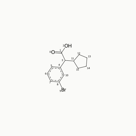 O=C(O)C(c1cccc(Br)c1)C1CCCC1